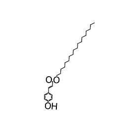 CCCCCCCCCCCCCCCCCCOC(=O)C=Cc1ccc(O)cc1